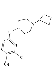 N#Cc1ccc(OC2CCN(C3CCC3)CC2)nc1Cl